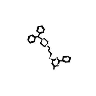 Cc1cc(OCCCN2CCN(C(c3ccccc3)c3ccccc3)CC2)nc(-c2ccccc2)n1